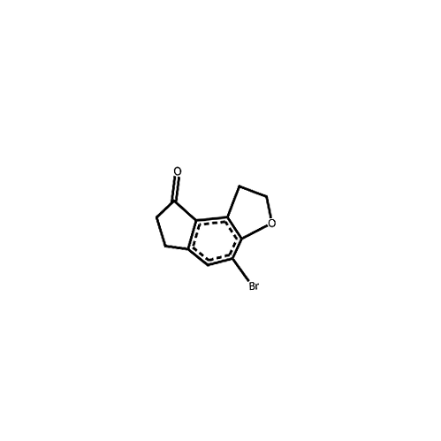 O=C1CCc2cc(Br)c3c(c21)CCO3